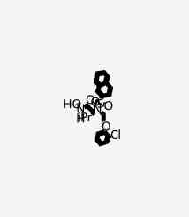 CC(C)C(C(=O)NO)N(CCOc1ccccc1Cl)S(=O)(=O)c1ccc2ccccc2c1